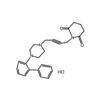 Cl.O=C1CCCC(=O)N1CC#CCN1CCN(c2ccccc2-c2ccccc2)CC1